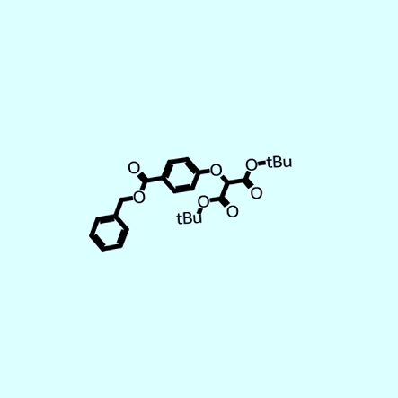 CC(C)(C)OC(=O)C(Oc1ccc(C(=O)OCc2ccccc2)cc1)C(=O)OC(C)(C)C